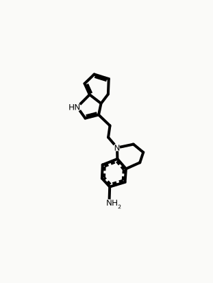 Nc1ccc2c(c1)CCCN2CCC1=CNC2=CC=CCC12